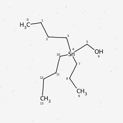 CCC[CH2][Sn]([CH2]O)([CH2]CC)[CH2]CCC